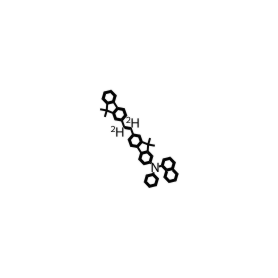 [2H]/C(=C(/[2H])c1ccc2c(c1)C(C)(C)c1cc(N(c3ccccc3)c3cccc4ccccc34)ccc1-2)c1ccc2c(c1)C(C)(C)c1ccccc1-2